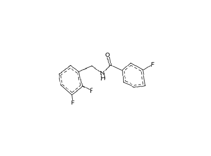 O=C(NCc1cccc(F)c1F)c1cccc(F)c1